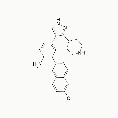 Nc1ncc(-c2c[nH]nc2C2CCNCC2)cc1-c1cc2ccc(O)cc2cn1